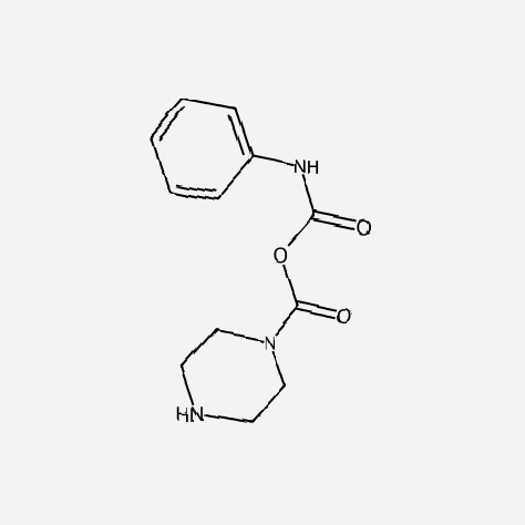 O=C(Nc1ccccc1)OC(=O)N1CCNCC1